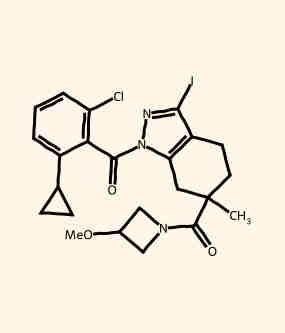 COC1CN(C(=O)C2(C)CCc3c(I)nn(C(=O)c4c(Cl)cccc4C4CC4)c3C2)C1